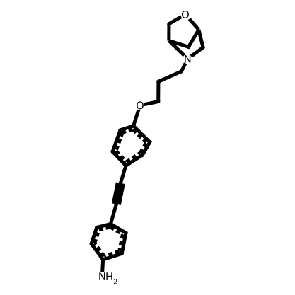 Nc1ccc(C#Cc2ccc(OCCCN3CC4CC3CO4)cc2)cc1